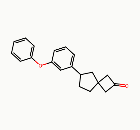 O=C1CC2(CCC(c3cccc(Oc4ccccc4)c3)C2)C1